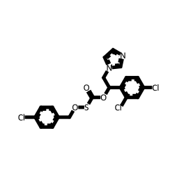 O=C(OC(Cn1ccnc1)c1ccc(Cl)cc1Cl)SOCc1ccc(Cl)cc1